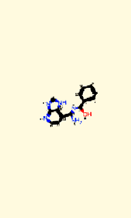 NC(=NC(O)c1ccccc1)c1ccnc2nc[nH]c12